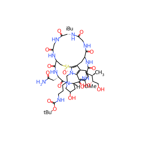 CC[C@H](C)[C@@H]1NC(=O)CNC(=O)C2Cc3c(n(CCCCCNC(=O)OC(C)(C)C)c4cc(OC)ccc34)[S@+]([O-])CC(NC(=O)CNC1=O)C(=O)N[C@@H](CC(N)=O)C(=O)N1CC(O)C[C@H]1C(=O)N[C@@H]([C@@H](C)[C@@H](O)CO)C(=O)N2